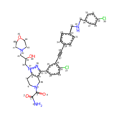 NC(=O)C(=O)N1CCc2c(c(-c3ccc(Cl)c(C#Cc4ccc(CNCc5ccc(Cl)cc5)cc4)c3)nn2CC(O)CN2CCOCC2)C1